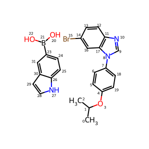 CC(C)Oc1ccc(-n2cnc3ccc(Br)cc32)cc1.OB(O)c1ccc2[nH]ccc2c1